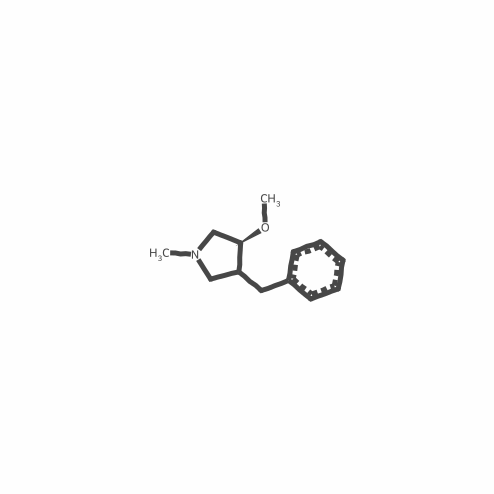 CO[C@@H]1CN(C)CC1Cc1ccccc1